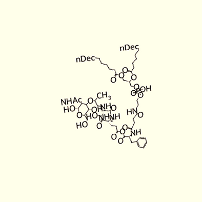 CCCCCCCCCCCCCCCC(=O)OC[C@H](COP(=O)(O)OCCNC(=O)CCC(=O)N[C@@H](Cc1ccccc1)C(=O)OC(=O)CC[C@@H](NC(=O)[C@H](CO)NCC(C)O[C@H]1[C@H](O)[C@@H](CO)O[C@H](O)[C@@H]1NC(C)=O)C(N)=O)OC(=O)CCCCCCCCCCCCCCC